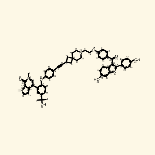 Cn1cc(-c2cc(C(C)(C)O)ccc2Oc2ccc(C#CC3CC4(CCN(CCOc5ccc(C(=O)c6c(-c7ccc(O)cc7)sc7cc(O)ccc67)cc5)CC4)C3)cc2)c2cc[nH]c2c1=O